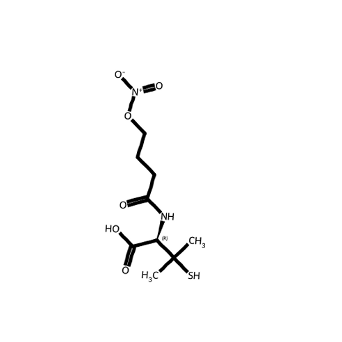 CC(C)(S)[C@H](NC(=O)CCCO[N+](=O)[O-])C(=O)O